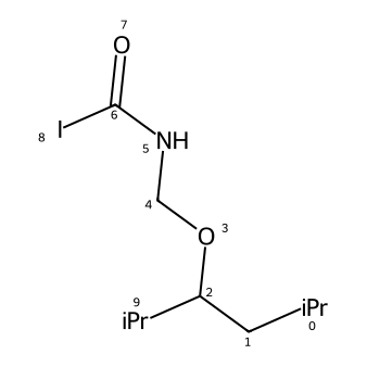 CC(C)CC(OCNC(=O)I)C(C)C